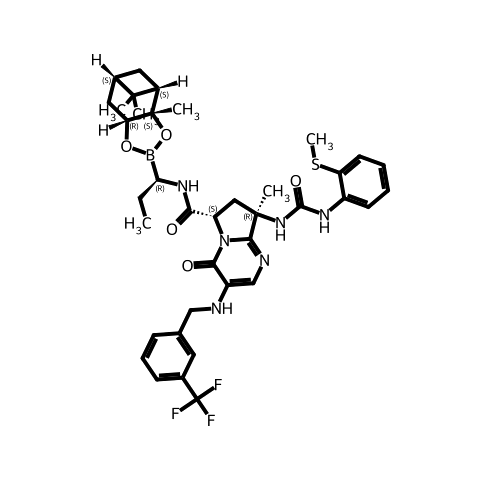 CC[C@H](NC(=O)[C@@H]1C[C@@](C)(NC(=O)Nc2ccccc2SC)c2ncc(NCc3cccc(C(F)(F)F)c3)c(=O)n21)B1O[C@@H]2C[C@@H]3C[C@@H](C3(C)C)[C@]2(C)O1